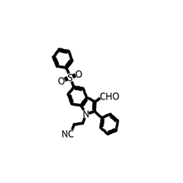 N#CCCn1c(-c2ccccc2)c(C=O)c2cc(S(=O)(=O)c3ccccc3)ccc21